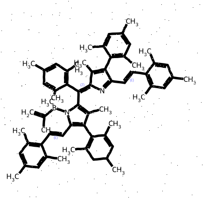 C=C(C)B(C)n1c(/C=C/c2c(C)cc(C)cc2C)c(C2=C(C)CC(C)C=C2C)c(C)c1/C(=C1N=C(/C=C/c2c(C)cc(C)cc2C)C(c2c(C)cc(C)cc2C)=C\1C)c1c(C)cc(C)cc1C